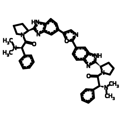 CN(C)[C@@H](C(=O)N1CCC[C@H]1c1nc2cc(-c3cnc(-c4ccc5nc([C@@H]6CCCN6C(=O)[C@@H](c6ccccc6)N(C)C)[nH]c5c4)o3)ccc2[nH]1)c1ccccc1